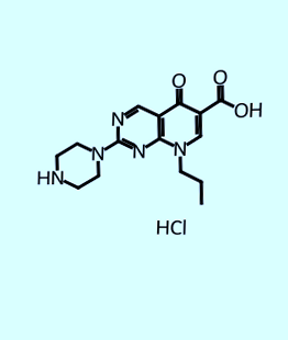 CCCn1cc(C(=O)O)c(=O)c2cnc(N3CCNCC3)nc21.Cl